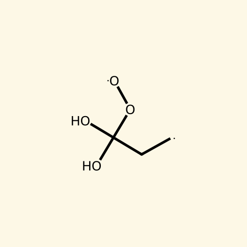 [CH2]CC(O)(O)O[O]